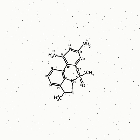 CC1CN(S(C)(=O)=O)c2c(-c3cnc(N)nc3N)cccc21